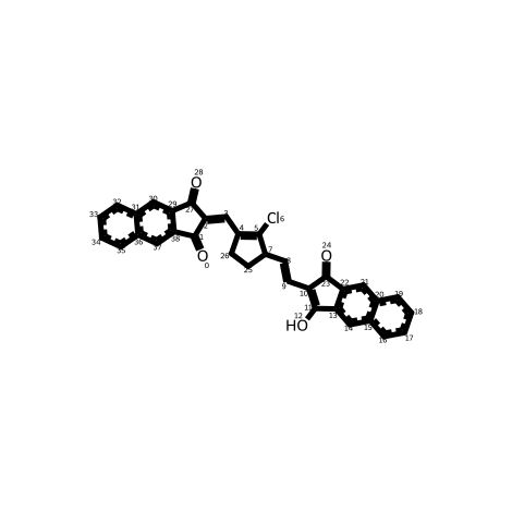 O=C1C(=CC2=C(Cl)C(/C=C/C3=C(O)c4cc5ccccc5cc4C3=O)CC2)C(=O)c2cc3ccccc3cc21